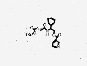 CC(C)(C)OC(=O)NCC(=O)NC(COC(=O)c1cccnc1)c1ccccc1